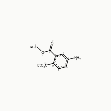 CCCCCCOC(=O)c1cc(N)ccc1C(=O)OCC